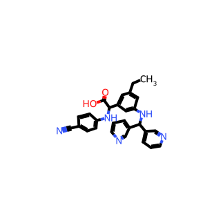 CCc1cc(NC(c2cccnc2)c2cccnc2)cc(C(Nc2ccc(C#N)cc2)C(=O)O)c1